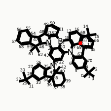 CC(C)(C)c1ccc(N2c3cc(C(C)(C)C)ccc3B3c4c2cc(N2c5ccc(C(C)(C)C)cc5C5(C)CCCCC25C)cc4-n2c4c(c5cccc3c52)-c2ccccc2C4(C)C)c(-c2ccccc2)c1